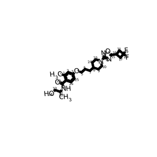 Cc1cc(OCCCC2CCN(c3noc(C4CC(F)(F)C4)n3)CC2)ccc1C(=O)N[C@H](C)CO